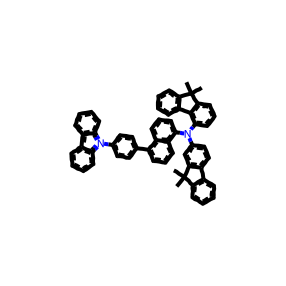 CC1(C)c2ccccc2-c2ccc(N(c3cccc4c3-c3ccccc3C4(C)C)c3cccc4c(-c5ccc(-n6c7ccccc7c7ccccc76)cc5)cccc34)cc21